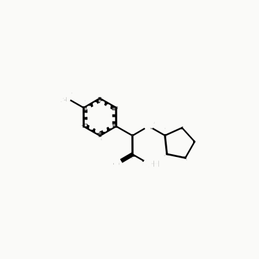 O=C(O)C(SC1CCCC1)c1ccc(Br)cc1